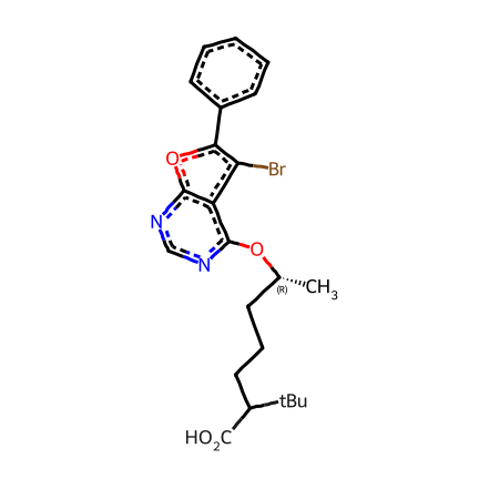 C[C@H](CCCC(C(=O)O)C(C)(C)C)Oc1ncnc2oc(-c3ccccc3)c(Br)c12